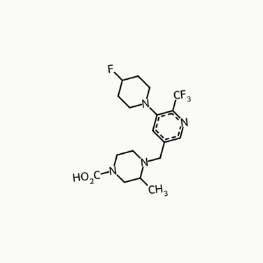 CC1CN(C(=O)O)CCN1Cc1cnc(C(F)(F)F)c(N2CCC(F)CC2)c1